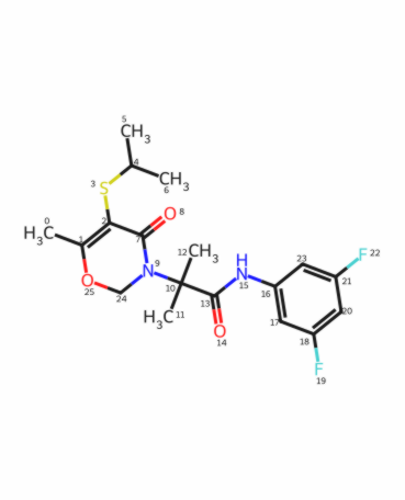 CC1=C(SC(C)C)C(=O)N(C(C)(C)C(=O)Nc2cc(F)cc(F)c2)CO1